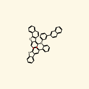 c1cc(-c2ccc3ccccc3c2)cc(N(c2ccccc2-c2ccc3sc4ccccc4c3c2)c2cccc3oc4c5ccccc5ccc4c23)c1